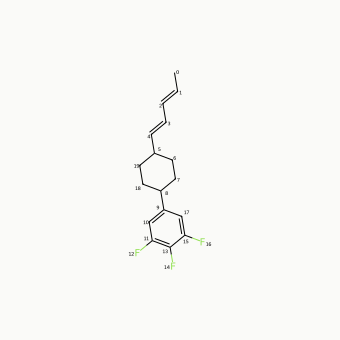 C/C=C/C=C/C1CCC(c2cc(F)c(F)c(F)c2)CC1